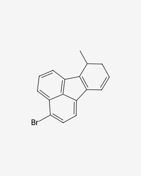 CC1CC=CC2=C1c1cccc3c(Br)ccc2c13